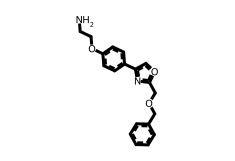 NCCOc1ccc(-c2coc(COCc3ccccc3)n2)cc1